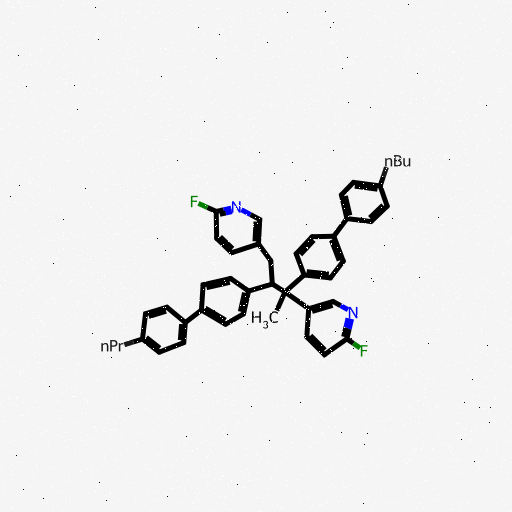 CCCCc1ccc(-c2ccc(C(C)(c3ccc(F)nc3)C(Cc3ccc(F)nc3)c3ccc(-c4ccc(CCC)cc4)cc3)cc2)cc1